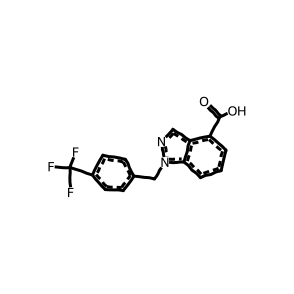 O=C(O)c1cccc2c1cnn2Cc1ccc(C(F)(F)F)cc1